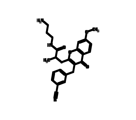 COc1ccc2c(=O)c(Cc3cccc(C#N)c3)c([CH]C(C)C(=O)NCCCN)oc2c1